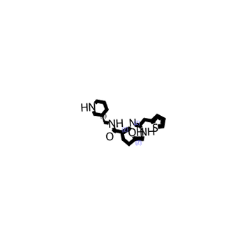 O=C(NC[C@@H]1CCCNC1)/C1=C\N=C(\Cc2cccs2)N/C=C(\O)CC1